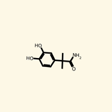 CC(C)(C(N)=O)c1ccc(O)c(O)c1